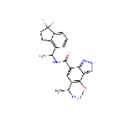 COc1c(C(C)N)cc(C(=O)NC(C)c2cccc3c2CCC3(F)F)c2n[nH]cc12